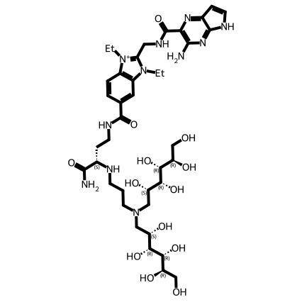 CCn1c(CNC(=O)c2nc3cc[nH]c3nc2N)[n+](CC)c2ccc(C(=O)NCC[C@H](NCCCN(C[C@H](O)[C@@H](O)[C@H](O)[C@H](O)CO)C[C@H](O)[C@@H](O)[C@H](O)[C@H](O)CO)C(N)=O)cc21